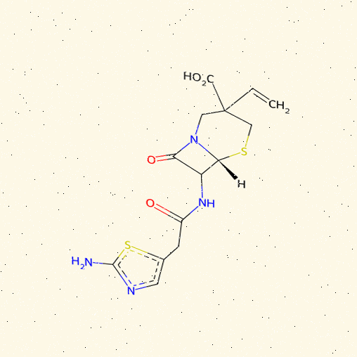 C=CC1(C(=O)O)CS[C@@H]2C(NC(=O)Cc3cnc(N)s3)C(=O)N2C1